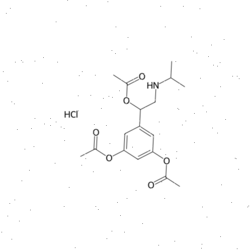 CC(=O)Oc1cc(OC(C)=O)cc(C(CNC(C)C)OC(C)=O)c1.Cl